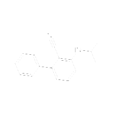 CC(C)Nc1cccc(-c2ccccc2)c1C#N